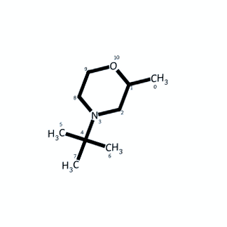 CC1CN(C(C)(C)C)CCO1